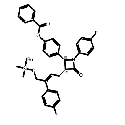 CC(C)(C)[Si](C)(C)OC/C(=C/C[C@H]1C(=O)N(c2ccc(F)cc2)[C@@H]1c1ccc(OC(=O)c2ccccc2)cc1)c1ccc(F)cc1